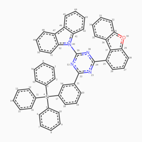 c1ccc([Si](c2ccccc2)(c2ccccc2)c2cccc(-c3nc(-c4cccc5oc6ccccc6c45)nc(-n4c5ccccc5c5ccccc54)n3)c2)cc1